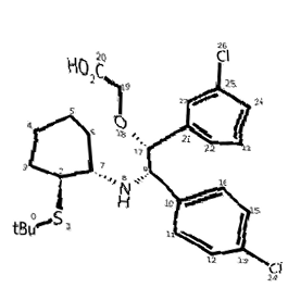 CC(C)(C)S[C@H]1CCCC[C@@H]1N[C@@H](c1ccc(Cl)cc1)[C@H](OCC(=O)O)c1cccc(Cl)c1